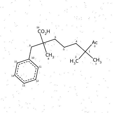 CC(=O)C(C)(C)CCCC(C)(Cc1ccccc1)C(=O)O